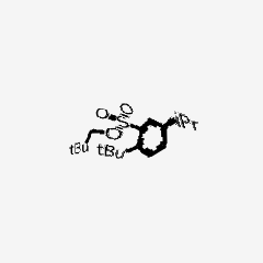 CC(C)c1ccc(C(C)(C)C)c(S(=O)(=O)OCC(C)(C)C)c1